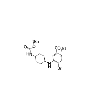 CCOC(=O)c1ccc(Br)c(NC2CCC(NC(=O)OC(C)(C)C)CC2)c1